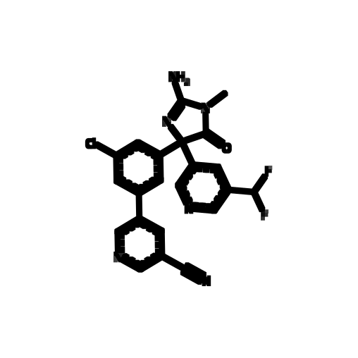 CN1C(=O)C(c2cc(Cl)cc(-c3cncc(C#N)c3)c2)(c2cncc(C(F)F)c2)N=C1N